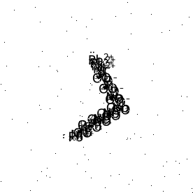 [Ni+2].[Ni+2].[Ni+2].[O]=[Nb](=[O])[O-].[O]=[Nb](=[O])[O-].[O]=[Nb](=[O])[O-].[O]=[Nb](=[O])[O-].[O]=[Ti]([O-])[O-].[O]=[Ti]([O-])[O-].[O]=[Ti]([O-])[O-].[O]=[Ti]([O-])[O-].[Pb+2].[Pb+2].[Pb+2]